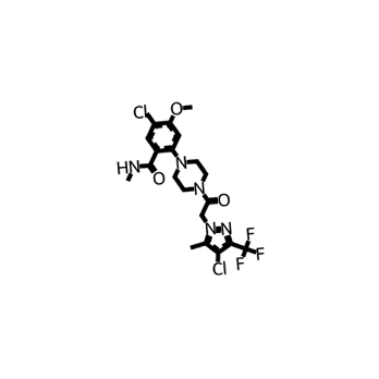 CNC(=O)c1cc(Cl)c(OC)cc1N1CCN(C(=O)Cn2nc(C(F)(F)F)c(Cl)c2C)CC1